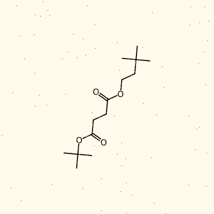 CC(C)(C)CCOC(=O)CCC(=O)OC(C)(C)C